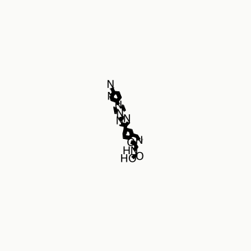 CN(Cc1cccc(-c2cnc(N3CCN(c4ccc(C#N)nc4)CC3)nc2)c1)C(=O)CNC(=O)O